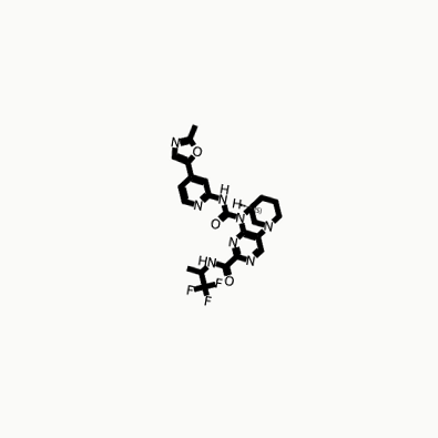 Cc1ncc(-c2ccnc(NC(=O)N3c4nc(C(=O)NC(C)C(F)(F)F)ncc4N4CCC[C@H]3C4)c2)o1